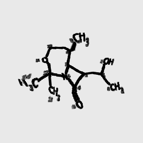 CC(O)C1C(=O)N2C1C(C)COC2(C)C